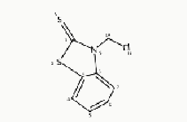 S=c1sc2ccccc2n1CCl